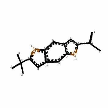 CC(C)c1cc2cc3sc(C(C)(C)C)cc3cc2s1